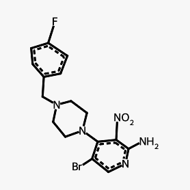 Nc1ncc(Br)c(N2CCN(Cc3ccc(F)cc3)CC2)c1[N+](=O)[O-]